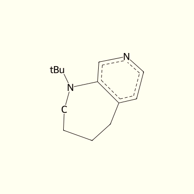 CC(C)(C)N1CCCCc2ccncc21